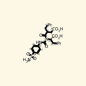 CC(C)CC(CC(=O)O)C(=O)N(C(=O)Nc1ccc(S(N)(=O)=O)cc1)[C@@H](CC(C)C)C(=O)O